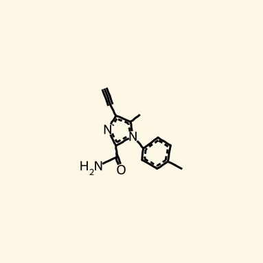 C#Cc1nc(C(N)=O)n(-c2ccc(C)cc2)c1C